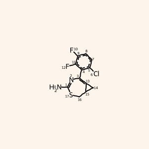 NC1=NC(c2c(Cl)ccc(F)c2F)=C2CC2CS1